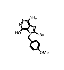 CCCCc1nc2c(N)nnc(O)c2n1Cc1ccc(OC)cc1